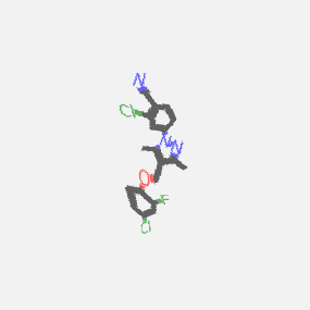 Cc1nn(-c2ccc(C#N)c(Cl)c2)c(C)c1COc1ccc(Cl)cc1F